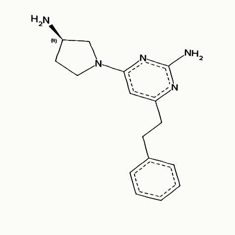 Nc1nc(CCc2ccccc2)cc(N2CC[C@@H](N)C2)n1